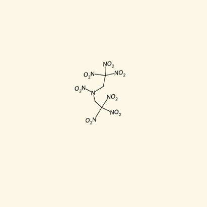 O=[N+]([O-])N(CC([N+](=O)[O-])([N+](=O)[O-])[N+](=O)[O-])CC([N+](=O)[O-])([N+](=O)[O-])[N+](=O)[O-]